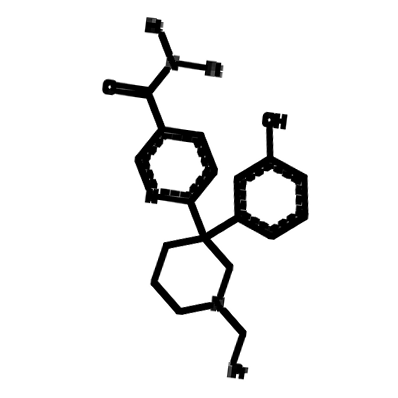 CCN(CC)C(=O)c1ccc(C2(c3cccc(O)c3)CCCN(CC(C)C)C2)nc1